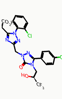 O=C(O)Cc1nc(Cn2nc(-c3ccc(Cl)cc3)n(C[C@H](O)C(F)(F)F)c2=O)nn1-c1ccccc1Cl